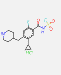 Cl.O=C(NS(=O)(=O)F)c1cc(C2CC2)c(CC2CCNCC2)cc1F